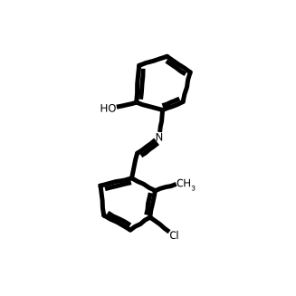 Cc1c(Cl)cccc1C=Nc1ccccc1O